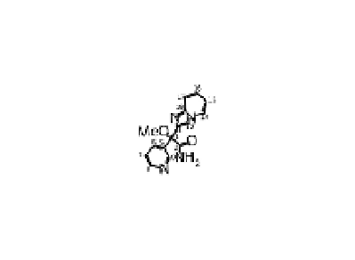 COC(C(N)=O)(c1cccnc1)c1cn2ccccc2n1